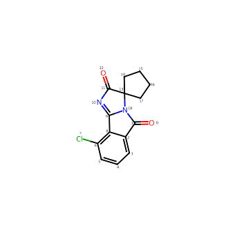 O=C1c2cccc(Cl)c2C2=NC(=O)C3(CCCC3)N12